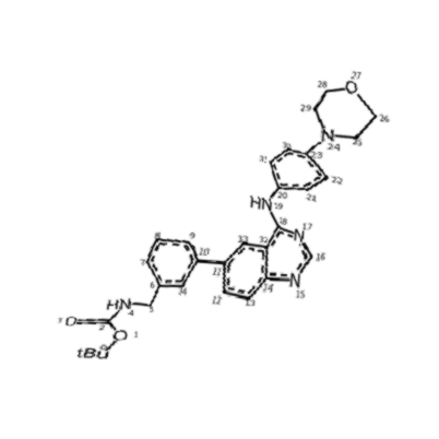 CC(C)(C)OC(=O)NCc1cccc(-c2ccc3ncnc(Nc4ccc(N5CCOCC5)cc4)c3c2)c1